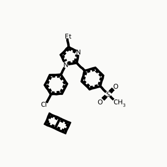 CCc1cn(-c2ccc(Cl)cc2)c(-c2ccc(S(C)(=O)=O)cc2)n1.c1cc2ccc1-2